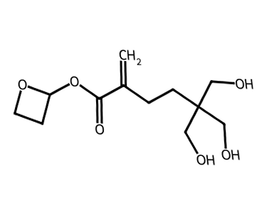 C=C(CCC(CO)(CO)CO)C(=O)OC1CCO1